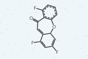 O=C1C=C2C(F)=CC(F)=CC2Oc2cccc(F)c21